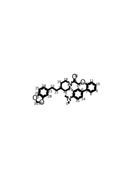 CN(C)c1ccc(-c2ccccc2OCC(=O)N2CCC(CCc3ccc4c(c3)OCO4)CC2)cc1